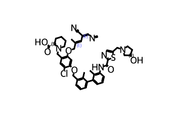 C=N/C=C(C#N)\C=C(/C)COc1cc(OCc2cccc(-c3cccc(NC(=O)c4ncc(CN5CC[C@@H](O)C5)s4)c3C)c2C)c(Cl)cc1CN1CCCC[C@H]1C(=O)O